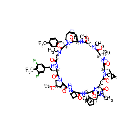 CCO[C@@H]1C[C@H]2C(=O)NC3(CCC3)C(=O)N(C)[C@@H](C3CCCC3)C(=O)N(C)[C@H](C(=O)N(C)CCOC)CC(=O)N(C)[C@@H](CC3CC3)C(=O)N[C@@H]([C@@H](C)CC)C(=O)N(C)CC(=O)N(C)[C@H]3C/C=C\CCN(C3=O)[C@@H](Cc3ccc(C(F)(F)F)cc3)C(=O)N(C)CC(=O)N[C@@H](CCc3cc(F)c(C(F)(F)F)c(F)c3)C(=O)N2C1